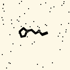 C=COCCN1CCCC1